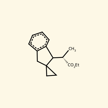 CCOC(=O)[C@@H](C)C1c2ccccc2CC12CC2